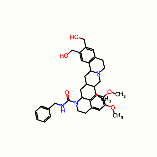 CCC1CN2CCc3cc(CO)c(CO)cc3C2CC1CC1c2cc(OC)c(OC)cc2CCN1C(=O)NCc1ccccc1